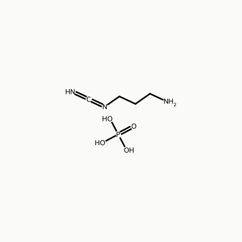 N=C=NCCCN.O=P(O)(O)O